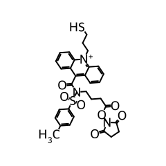 Cc1ccc(S(=O)(=O)N(CCCC(=O)ON2C(=O)CCC2=O)C(=O)c2c3ccccc3[n+](CCCS)c3ccccc23)cc1